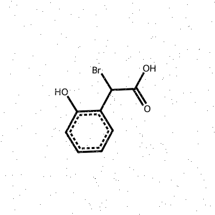 O=C(O)C(Br)c1ccccc1O